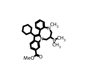 COC(=O)c1ccc2c(C3CCCCC3)c3n(c2c1)CC(N(C)C)CN(C)c1ccccc1-3